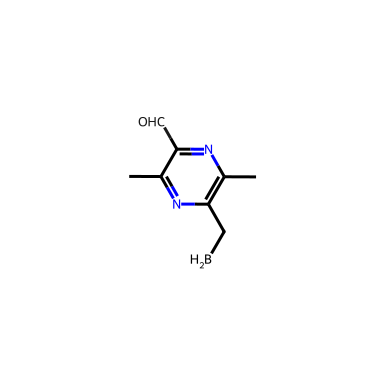 BCc1nc(C)c(C=O)nc1C